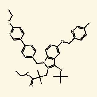 CCOC(=O)C(C)(C)Cc1c(SC(C)(C)C)c2cc(OCc3ccc(C)cn3)ccc2n1Cc1ccc(-c2ccc(OCC)nc2)cc1